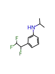 CC(C)Nc1cccc(C(F)C(F)F)c1